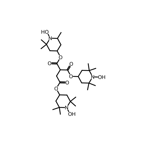 CC1CC(OC(=O)C(CC(=O)OC2CC(C)(C)N(O)C(C)(C)C2)C(=O)OC2CC(C)(C)N(O)C(C)(C)C2)CC(C)(C)N1O